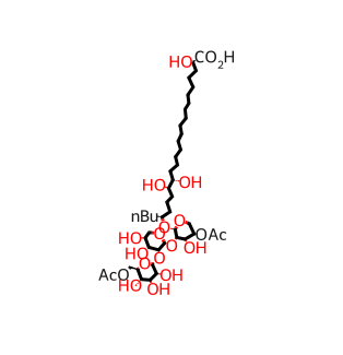 CCCC[C@H](CCC[C@H](O)[C@@H](O)CCCCCCCCCCCCCC[C@H](O)C(=O)O)O[C@@H]1OC[C@@H](OC(C)=O)[C@H](O)[C@H]1O[C@@H]1OC[C@@H](O)[C@H](O)[C@H]1O[C@@H]1O[C@H](COC(C)=O)[C@@H](O)[C@H](O)[C@H]1O